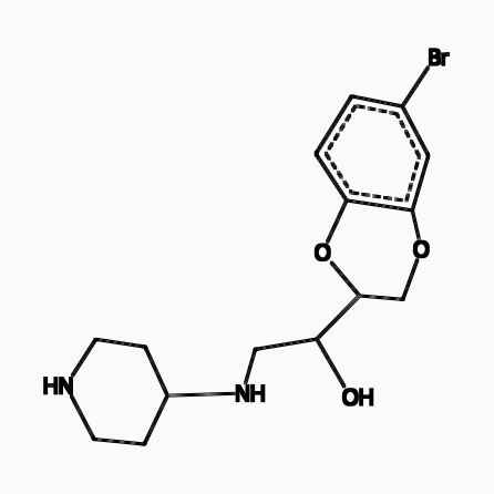 OC(CNC1CCNCC1)C1COc2cc(Br)ccc2O1